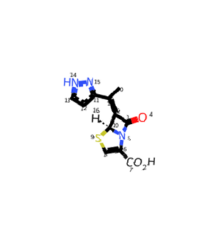 C/C(=C1\C(=O)N2C(C(=O)O)=CS[C@@H]12)c1cc[nH]n1